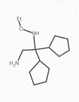 CCONC(CN)(C1CCCC1)C1CCCC1